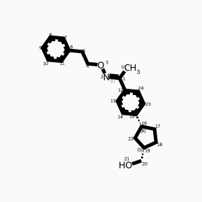 C/C(=N\OCCc1ccccc1)c1ccc([C@@H]2CC[C@H](CO)C2)cc1